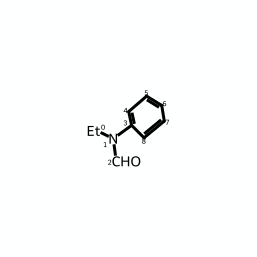 [CH2]CN(C=O)c1ccccc1